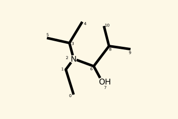 CCN(C(C)C)C(O)C(C)C